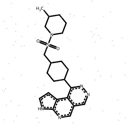 CC1CCCN(S(=O)(=O)CC2CCC(c3nncc4cnc5[nH]ccc5c34)CC2)C1